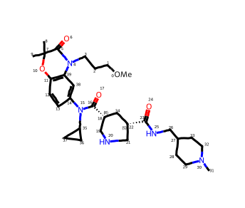 COCCCN1C(=O)C(C)(C)Oc2ccc(N(C(=O)[C@H]3CNC[C@@H](C(=O)NCC4CCN(C)CC4)C3)C3CC3)cc21